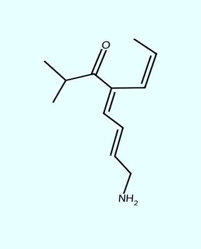 C\C=C/C(=C\C=C\CN)C(=O)C(C)C